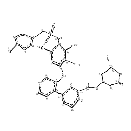 O=S(=O)(Cc1ccc(Cl)cc1)Nc1c(F)cc(Oc2ncccc2-c2ccnc(NCC3CNC[C@@H](F)C3)n2)c(F)c1F